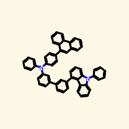 c1ccc(N(c2ccc(-c3cc4ccccc4c4ccccc34)cc2)c2cccc(-c3cccc(-c4cccc5c4c4ccccc4n5-c4ccccc4)c3)c2)cc1